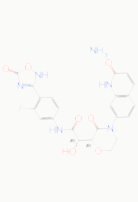 N.O=C(Nc1ccc(-c2nc(=O)o[nH]2)c(F)c1)[C@H](O)[C@H]1OCCN(c2ccc3ccc(=O)[nH]c3c2)C1=O